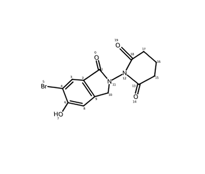 O=C1c2cc(Br)c(O)cc2CN1N1C(=O)CCCC1=O